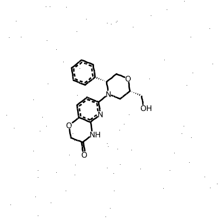 O=C1COc2ccc(N3C[C@@H](CO)OC[C@H]3c3ccccc3)nc2N1